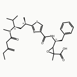 C=C(CC)CC(=O)N(C)[C@H](C[C@@H](C)c1nc(C(=O)N[C@@H](Cc2ccccc2)C2OC2(C)C(=O)O)cs1)C(C)C